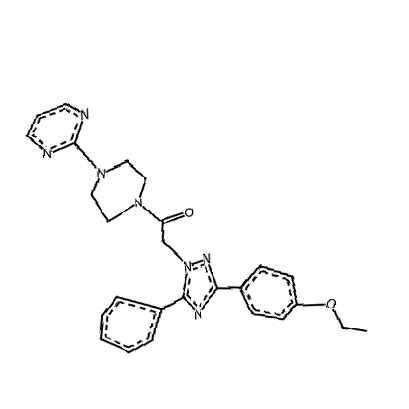 CCOc1ccc(-c2nc(-c3ccccc3)n(CC(=O)N3CCN(c4ncccn4)CC3)n2)cc1